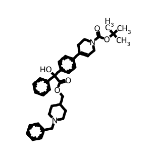 CC(C)(C)OC(=O)N1CC=C(c2ccc(C(O)(C(=O)OCC3CCN(Cc4ccccc4)CC3)c3ccccc3)cc2)CC1